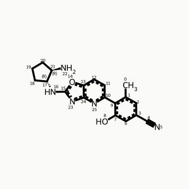 Cc1cc(C#N)cc(O)c1-c1ccc2oc(N[C@@H]3CCC[C@H]3N)nc2n1